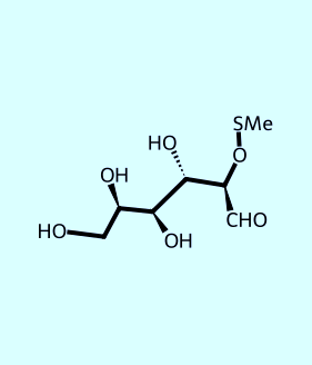 CSO[C@@H](C=O)[C@@H](O)[C@@H](O)[C@H](O)CO